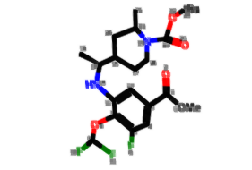 COC(=O)c1cc(F)c(OC(F)F)c(N[C@@H](C)C2CCN(C(=O)OC(C)(C)C)C(C)C2)c1